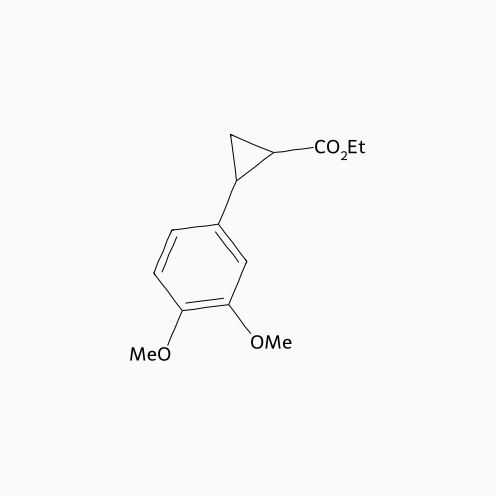 CCOC(=O)C1CC1c1ccc(OC)c(OC)c1